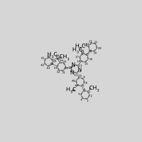 Cc1ccccc1-c1ccc(-c2nc(-c3ccc(-c4ccccc4C)c(C)c3)nc(-c3ccc4c(c3)C(C)(C)c3ccccc3-4)n2)cc1C